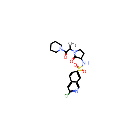 CC(C(=O)N1CCCCC1)N1CCC(NS(=O)(=O)c2ccc3cc(Cl)ncc3c2)C1=O